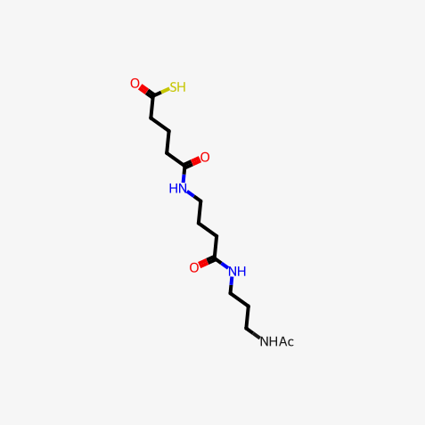 CC(=O)NCCCNC(=O)CCCNC(=O)CCCC(=O)S